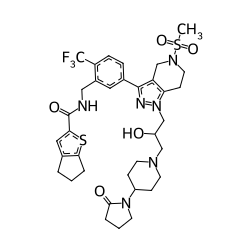 CS(=O)(=O)N1CCc2c(c(-c3ccc(C(F)(F)F)c(CNC(=O)c4cc5c(s4)CCC5)c3)nn2CC(O)CN2CCC(N3CCCC3=O)CC2)C1